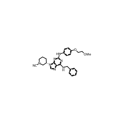 COCCOc1ccc(Nc2nc(NCc3ccccc3)c3ncn([C@H]4CCCN(C#N)C4)c3n2)cc1